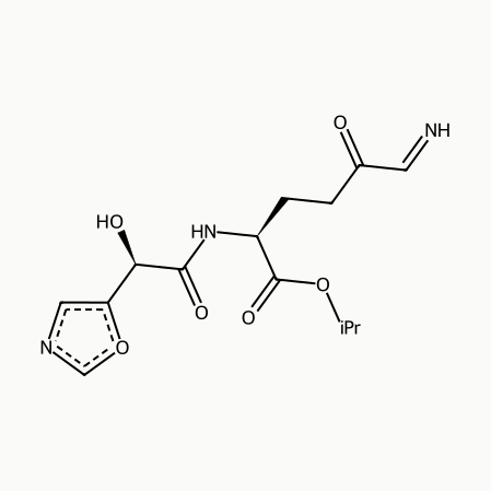 CC(C)OC(=O)[C@H](CCC(=O)C=N)NC(=O)[C@H](O)c1cnco1